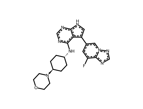 Fc1cc(-c2c[nH]c3ncnc(N[C@H]4CC[C@H](N5CCOCC5)CC4)c23)cn2ncnc12